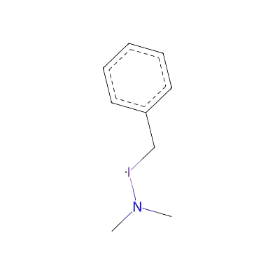 CN(C)[I]Cc1ccccc1